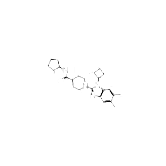 Cc1cc2nc(N3CCC(C(=O)NC4CCCC4)CC3)n(C3CCC3)c2cc1C